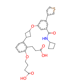 O=C(O)CCCOc1cccc(C2CC(Oc3cc(C(=O)NC4CCC4)cc(-c4ccsc4)c3)C2)c1CCC(=O)O